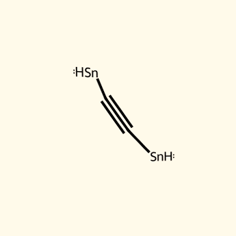 [SnH][C]#[C][SnH]